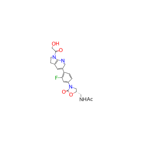 CC(=O)NC[C@H]1CN(c2ccc(-c3cnc4c(c3)CCN4C(=O)CO)c(F)c2)C(=O)O1